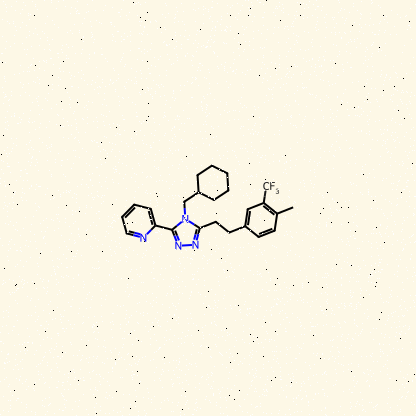 Cc1ccc(CCc2nnc(-c3ccccn3)n2CC2CCCCC2)cc1C(F)(F)F